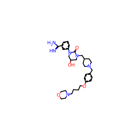 N=C(N)c1cccc(N2CC(O)CN(CC3CCN(Cc4ccc(OCCCCN5CCOCC5)cc4)CC3)C2=O)c1